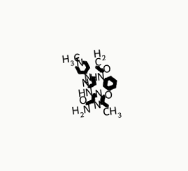 C=CC(=O)Nc1cccc(Oc2nc(Nc3ccn(C4CCN(C)CC4)n3)c(C(N)=O)nc2CC)c1